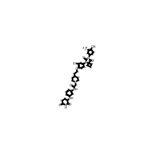 CCc1cc(N2C(=S)N(c3ccc(C#N)c(C(F)(F)F)c3)C(=O)C23CCC3)ccc1OCCC1CCN(CC(=O)Nc2cccc(NC3CCC(=O)NC3=O)c2)CC1